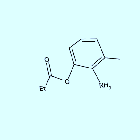 CCC(=O)Oc1cccc(C)c1N